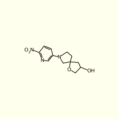 O=[N+]([O-])c1ccc(N2CCC3(CC(O)CO3)C2)cn1